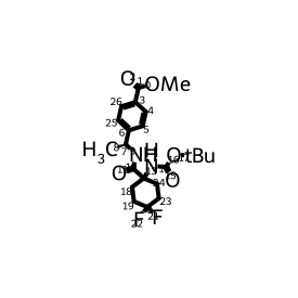 COC(=O)c1ccc([C@H](C)NC(=O)C2(NC(=O)OC(C)(C)C)CCC(F)(F)CC2)cc1